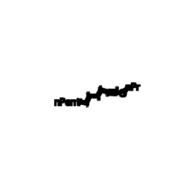 [CH2]CCOC#CCCCCCCCCC